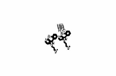 CN(C)CCCn1nc(-c2ccccc2Br)c2cnccc21.CN(C)CCCn1nc(-c2ccccc2Br)c2cnccc21.Cl.Cl.Cl.Cl.O